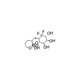 O=P1(O)OCCCC1C[C@@H]1[C@@H](O)[C@H](O)[C@H](O)[C@@H](O)C1(F)F